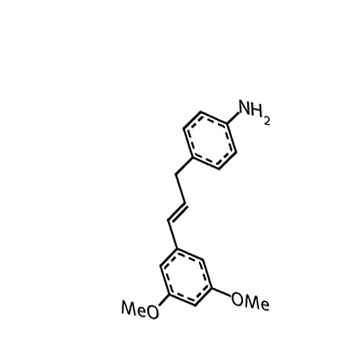 COc1cc(/C=C/Cc2ccc(N)cc2)cc(OC)c1